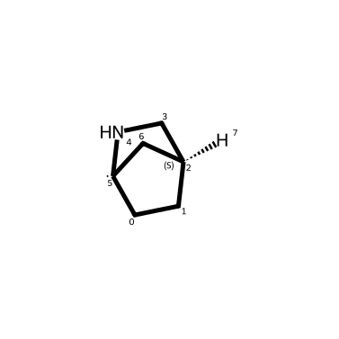 C1C[C@@H]2CN[C]1C2